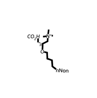 CCCCCCCCCCCCCO[C@H](CC(=O)O)C[N+](C)(C)C